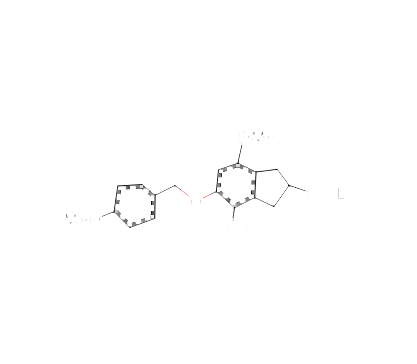 CCOC(=O)C1Cc2c(OC)cc(OCc3ccc(OC)cc3)c(C=O)c2C1